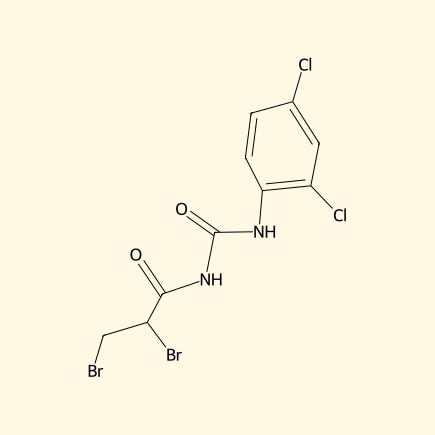 O=C(NC(=O)C(Br)CBr)Nc1ccc(Cl)cc1Cl